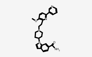 COc1ccc(-c2cccnc2)nc1CCN1CCC(n2ccc3ccc(C(N)=O)cc32)CC1